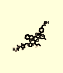 CC[C@H](C)[C@@H](C(=O)N[C@@H](Cc1ccccc1)[C@H](O)CN(CC(C)C)S(=O)(=O)c1ccc(C=NO)cc1)N1CCN(Cc2csc(N(C)N)n2)C1=O